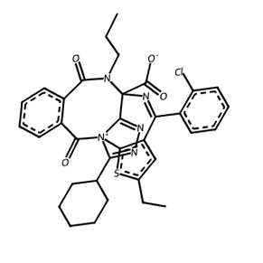 CCCN1C(=O)c2ccccc2C(=O)[N+]23C(C4CCCCC4)=NN=C2C1(C(=O)[O-])N=C(c1ccccc1Cl)c1cc(CC)sc13